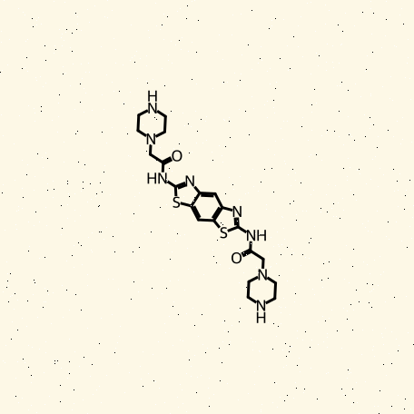 O=C(CN1CCNCC1)Nc1nc2cc3nc(NC(=O)CN4CCNCC4)sc3cc2s1